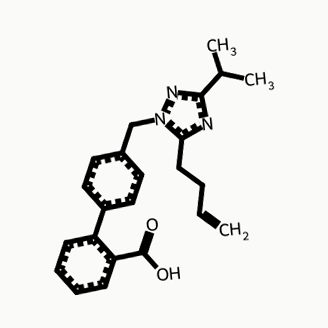 C=CCCc1nc(C(C)C)nn1Cc1ccc(-c2ccccc2C(=O)O)cc1